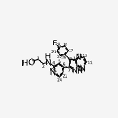 OCCNc1cc(-c2[nH]c3nccnc3c2-c2ccc(F)cc2)ccn1